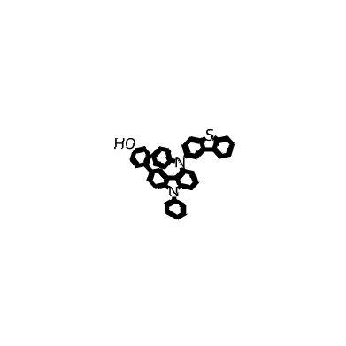 Oc1ccc(-c2ccc3c(c2)c2c(N(c4ccccc4)c4ccc5sc6ccccc6c5c4)cccc2n3-c2ccccc2)cc1